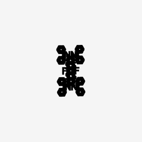 Fc1c2sc3cc(N=C(c4ccccc4)c4ccccc4)c(N=C(c4ccccc4)c4ccccc4)cc3sc2c(F)c2sc3cc(N=C(c4ccccc4)c4ccccc4)c(N=C(c4ccccc4)c4ccccc4)cc3sc12